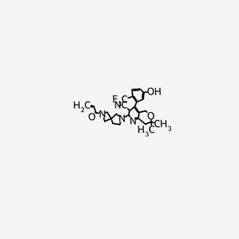 C=CC(=O)N1CC2(CCN(C3N=C4CC(C)(C)OCC4=C(c4cc(O)ccc4C(F)(F)F)C3C#N)C2)C1